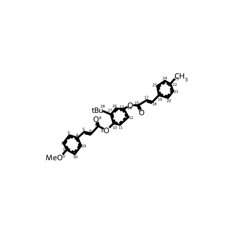 COc1ccc(/C=C/C(=O)Oc2ccc(OC(=O)/C=C/c3ccc(C)cc3)cc2C(C)(C)C)cc1